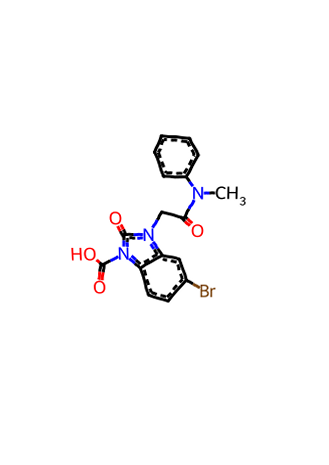 CN(C(=O)Cn1c(=O)n(C(=O)O)c2ccc(Br)cc21)c1ccccc1